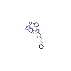 Cc1cccc(-c2nc(CN(I)CCNc3ccccc3)[nH]c2-c2ccc3ncnn3c2)n1